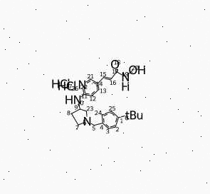 CC(C)(C)c1ccc(CN2CC[C@@H](Nc3ccc(C=CC(=O)NO)cn3)C2)cc1.Cl.Cl